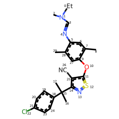 CCN(C)C=Nc1cc(C)c(Oc2snc(C(C)(C)c3ccc(Cl)cc3)c2C#N)cc1C